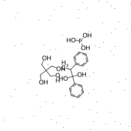 CC(c1ccccc1)C(O)(O)c1ccccc1.OCC(CO)(CO)CO.OP(O)O